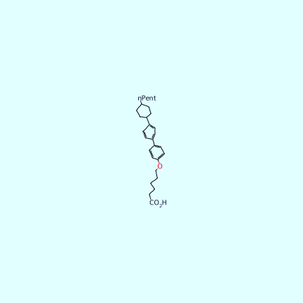 CCCCCC1CCC(c2ccc(-c3ccc(OCCCCCC(=O)O)cc3)cc2)CC1